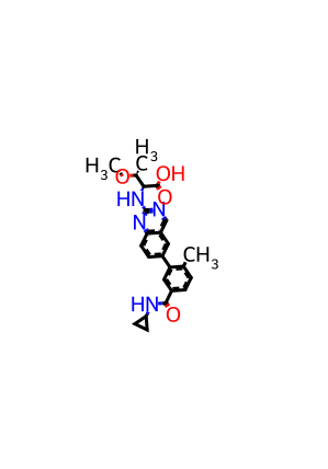 CO[C@H](C)[C@H](Nc1ncc2cc(-c3cc(C(=O)NC4CC4)ccc3C)ccc2n1)C(=O)O